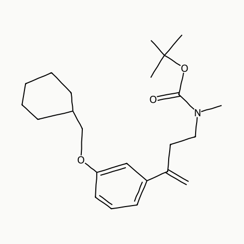 C=C(CCN(C)C(=O)OC(C)(C)C)c1cccc(OCC2CCCCC2)c1